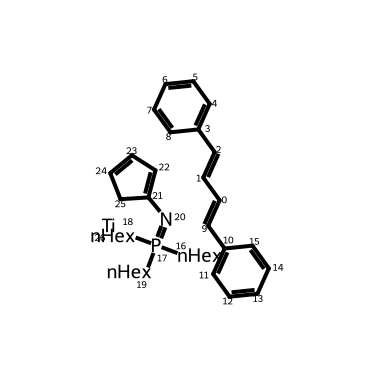 C(C=Cc1ccccc1)=Cc1ccccc1.CCCCCCP(CCCCCC)(CCCCCC)=NC1=CC=CC1.[Ti]